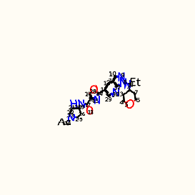 CCN(C1CCOCC1)n1ncc2cc(-c3nc(C(=O)NC4CCN(C(C)=O)CC4)co3)cnc21